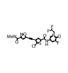 CNC(=O)c1cc(C#Cc2cc(C(=O)Nc3cc(F)c(=O)n(CC(F)F)c3)sc2Cl)on1